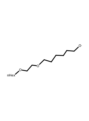 CCCCCCOCCOCCCCCC[O]